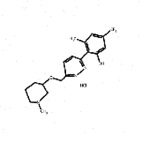 Cc1cc(C(F)(F)F)cc(O)c1-c1ccc(COC2CCCN(C)C2)nn1.Cl